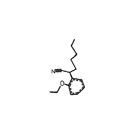 CCCCCC(C#N)c1ccccc1OCC